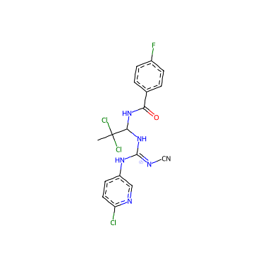 CC(Cl)(Cl)C(NC(=O)c1ccc(F)cc1)N/C(=N\C#N)Nc1ccc(Cl)nc1